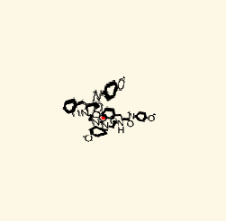 COC1=CC2N(CC(=O)N[C@@H](Cc3ccccc3)C(=O)N(C)c3ccc(OC)cc3)C(=O)N(CC(=O)N[C@@H](Cc3ccccc3)C(=O)N(C)c3ccc(OC)cc3)C2(C)C=C1